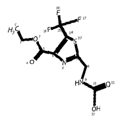 CCOC(=O)c1nc(CNC(=O)O)sc1C(F)(F)F